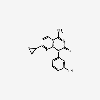 N#Cc1cccc(-n2c(=O)nc(N)c3ccc(C4CC4)nc32)c1